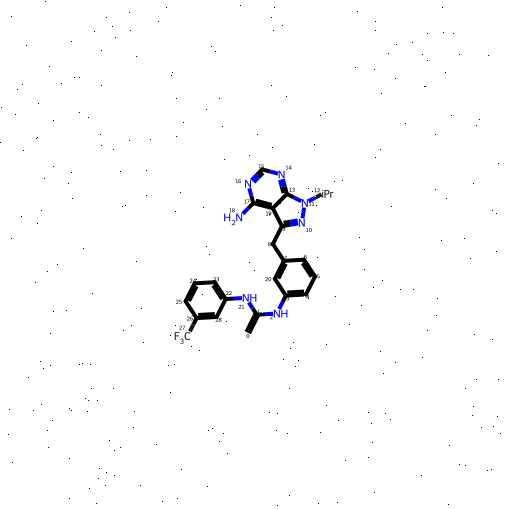 C=C(Nc1cccc(Cc2nn(C(C)C)c3ncnc(N)c23)c1)Nc1cccc(C(F)(F)F)c1